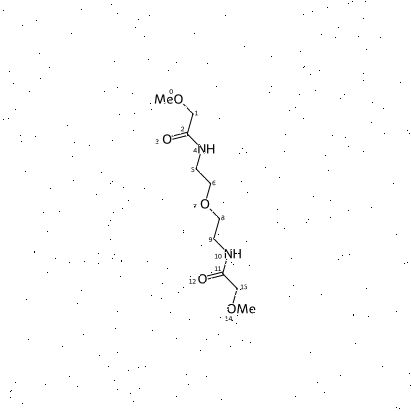 COCC(=O)NCCOCCNC(=O)COC